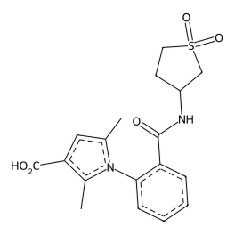 Cc1cc(C(=O)O)c(C)n1-c1ccccc1C(=O)NC1CCS(=O)(=O)C1